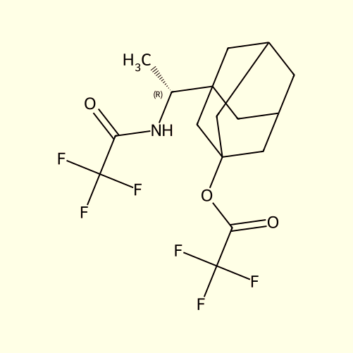 C[C@@H](NC(=O)C(F)(F)F)C12CC3CC(CC(OC(=O)C(F)(F)F)(C3)C1)C2